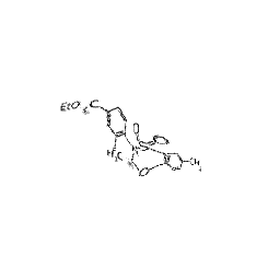 CCOC(=O)c1ccc(N2[C@@H](C)Oc3ccc(C)cc3S2(=O)=O)c(F)c1